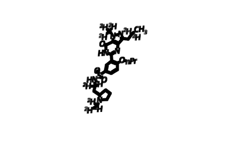 [2H]C([2H])(C)Cc1nn(C([2H])([2H])[2H])c2c(=O)[nH]c(-c3cc(S(=O)(=O)NC([2H])([2H])CC4CCCN4C([2H])([2H])[2H])ccc3OCCC)nc12